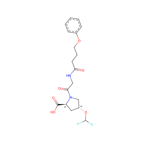 O=C(CCCOc1ccccc1)NCC(=O)N1C[C@H](OC(F)F)C[C@H]1C(=O)O